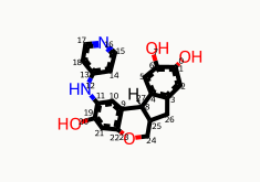 Oc1cc2c(cc1O)[C@@H]1c3cc(Nc4ccncc4)c(O)cc3OCC1C2